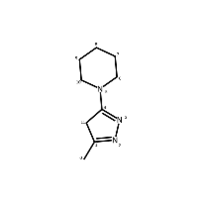 CC1=NN=C(N2CCCCC2)C1